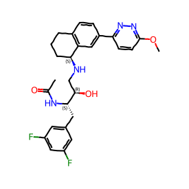 COc1ccc(-c2ccc3c(c2)[C@@H](NC[C@@H](O)[C@H](Cc2cc(F)cc(F)c2)NC(C)=O)CCC3)nn1